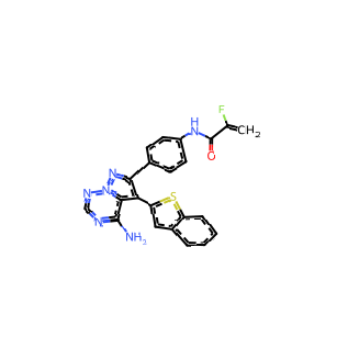 C=C(F)C(=O)Nc1ccc(-c2nn3ncnc(N)c3c2-c2cc3ccccc3s2)cc1